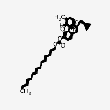 C=C1CC[C@@]2(O)C3CC4C=CC(OC(=O)OCCCCCCCCCCCCCCC)=C5O[C@@H]1[C@]2(CCN3CC1CC1)C54